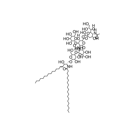 CCCCCCCCCCCCC/C=C/[C@@H](O)[C@H](CO[C@@H]1OC(CO)[C@@H](O[C@@H]2OC(CO)[C@H](O)[C@H](O[C@@H]3OC(CO[C@]4(C(=O)O)CC(O)[C@@H](NC(C)=O)C([C@H](O)[C@H](O)CO)O4)[C@@H](O)[C@H](O[C@@H]4OC(CO)[C@H](O)[C@H](O)C4O)C3NC(C)=O)C2O)[C@H](O)C1O)NC(=O)CCCCCCCCCCCCCCCCCCC